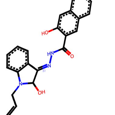 C=CCN1c2ccccc2/C(=N\NC(=O)c2cc3ccccc3cc2O)C1O